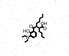 CCCCCC(C(=O)c1cccc(N(CC)CC)c1O)C(CCCC)C(=O)O